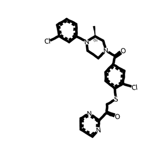 C[C@H]1CN(C(=O)c2ccc(SCC(=O)c3ncccn3)c(Cl)c2)CCN1c1cccc(Cl)c1